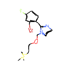 CS(C)(C)CCOCn1ccnc1-c1ccc(F)cc1Br